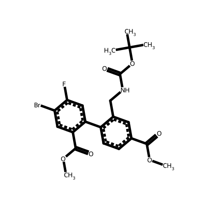 COC(=O)c1ccc(-c2cc(F)c(Br)cc2C(=O)OC)c(CNC(=O)OC(C)(C)C)c1